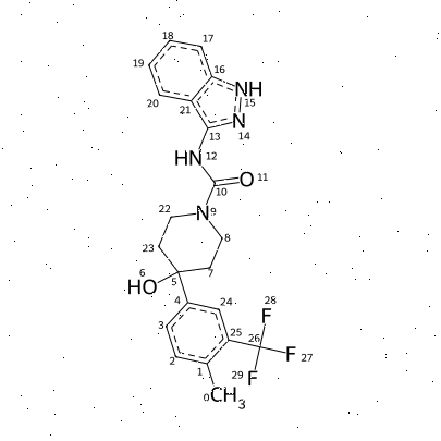 Cc1ccc(C2(O)CCN(C(=O)Nc3n[nH]c4ccccc34)CC2)cc1C(F)(F)F